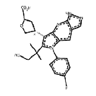 CC(C)(CC#N)c1c([C@@H]2COC(C(=O)O)C2)c2nc3[nH]ncc3cc2n1-c1ccc(F)cc1